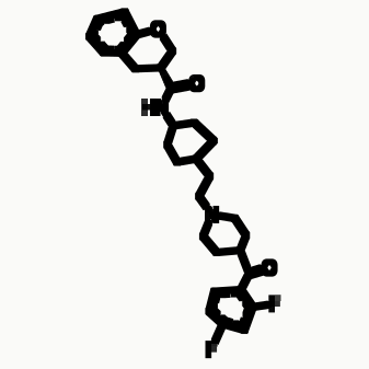 O=C(c1ccc(F)cc1F)C1CCN(CCC2CCC(NC(=O)[C@@H]3COc4ccccc4C3)CC2)CC1